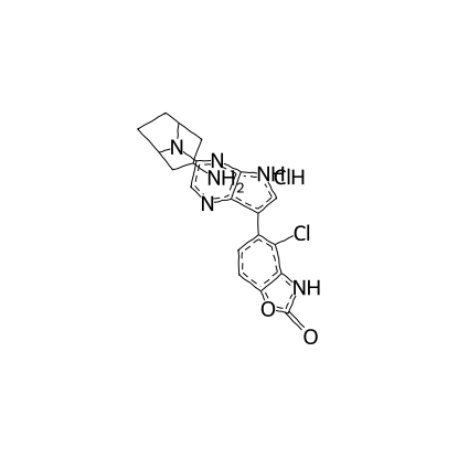 Cl.NC1CC2CCC(C1)N2c1cnc2c(-c3ccc4oc(=O)[nH]c4c3Cl)c[nH]c2n1